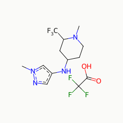 CN1CCC(Nc2cnn(C)c2)CC1C(F)(F)F.O=C(O)C(F)(F)F